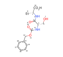 CC[C@@H](NC(=O)[C@H](CO)NC(=O)OCc1ccccc1)C(=O)O